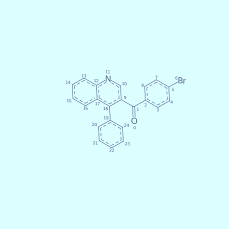 O=C(c1ccc(Br)cc1)c1cnc2ccccc2c1-c1ccccc1